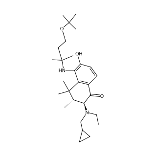 CCN(CC1CC1)[C@@H]1C(=O)c2ccc(O)c(NC(C)(C)CCOC(C)(C)C)c2C(C)(C)[C@H]1C